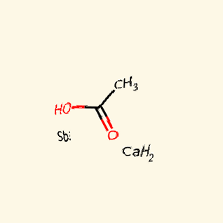 CC(=O)O.[CaH2].[Sb]